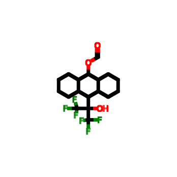 O=COC1C2CCCCC2C(C(O)(C(F)(F)F)C(F)(F)F)C2CCCCC21